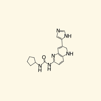 O=C(Nc1ccc2c(n1)C=C(c1cnc[nH]1)CN2)NC1CCCC1